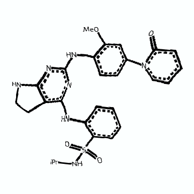 COc1cc(-n2ccccc2=O)ccc1Nc1nc2c(c(Nc3ccccc3S(=O)(=O)NC(C)C)n1)CCN2